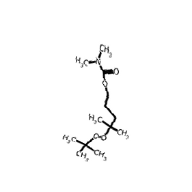 CN(C)C(=O)OCCCC(C)(C)OOC(C)(C)C